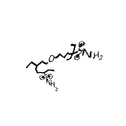 CCC(CCOCCCCC(CC)(CC)S(N)(=O)=O)CC(CC)S(N)(=O)=O